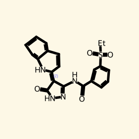 CCS(=O)(=O)c1cccc(C(=O)NC2=NNC(=O)/C2=C2/C=Cc3ccccc3N2)c1